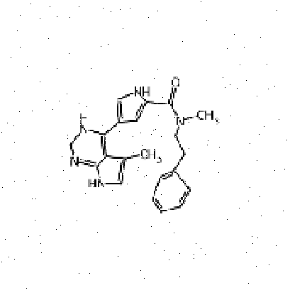 Cc1c[nH]c2c1=C(c1c[nH]c(C(=O)N(C)CCc3ccccc3)c1)NCN=2